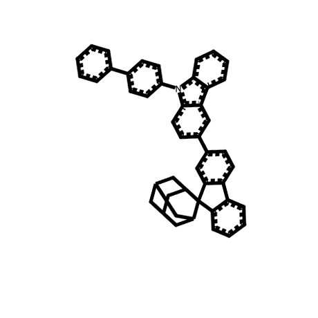 c1ccc(-c2ccc(-n3c4ccccc4c4cc(-c5ccc6c(c5)C5(c7ccccc7-6)C6CC7CC(C6)CC5C7)ccc43)cc2)cc1